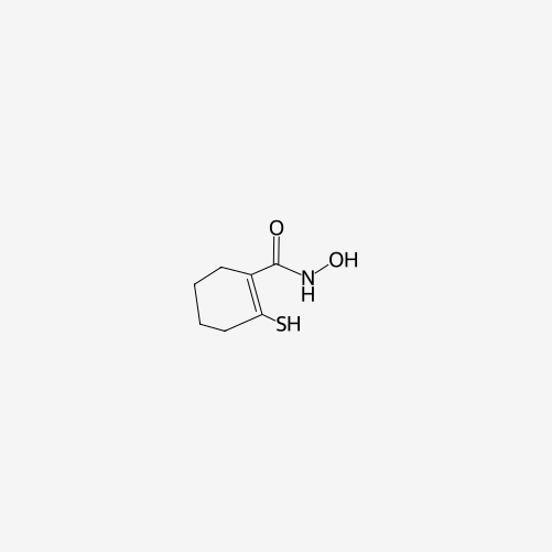 O=C(NO)C1=C(S)CCCC1